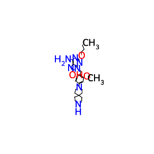 CCCCOc1nc(N)c2nc(O)n(Cc3ccc(N4CCC5(CCNCC5)CC4)cc3OC)c2n1